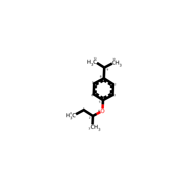 CCC(C)Oc1ccc(C(C)C)cc1